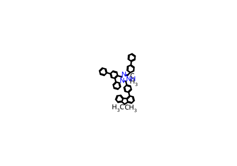 CC1(C2=NC(c3ccc(-c4ccccc4)cc3-c3ccccc3)=NC(c3ccc(-c4cccc5c4-c4ccccc4C5(C)C)cc3)N2)C=CC(c2ccccc2)=CC1